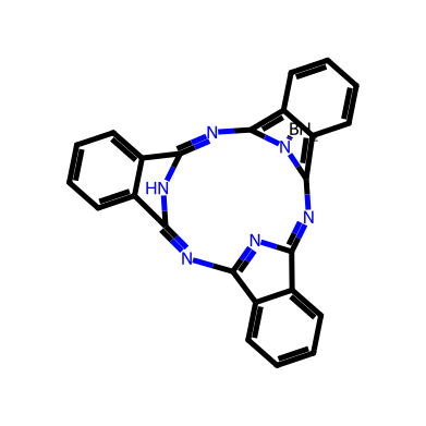 Bn1c2nc3nc(nc4[nH]c(nc1c1ccccc12)c1ccccc41)-c1ccccc1-3